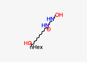 CCCCCCC(O)CCCCCCCCCCC(=O)NCCCNCCO